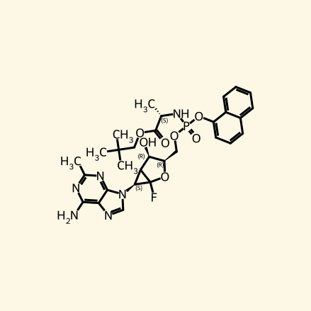 Cc1nc(N)c2ncn([C@H]3C4[C@@H](O)[C@@H](COP(=O)(N[C@@H](C)C(=O)OCC(C)(C)C)Oc5cccc6ccccc56)OC43F)c2n1